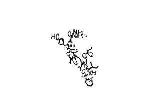 CCCC(=O)OCN(C(=O)[C@@H](NC(=O)[C@H]1CCCCN1C)C(C)CC)[C@H](C[C@@H](OC(C)=O)C1=NC(C(=O)N[C@@H](Cc2ccc(O)cc2)C[C@H](C)C(=O)NN)CS1)C(C)C